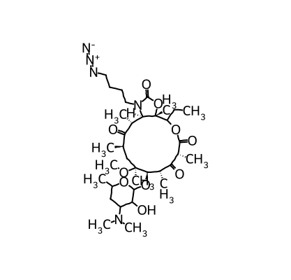 CCC1OC(=O)[C@H](C)C(=O)[C@H](C)[C@@H](OC2OC(C)CC(N(C)C)C2O)[C@@](C)(OC)C[C@@H](C)C(=O)[C@H](C)[C@H]2N(CCCCN=[N+]=[N-])C(=O)O[C@]12C